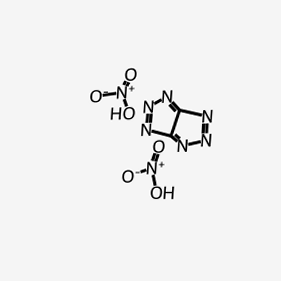 N1=NC2=NN=NC2=N1.O=[N+]([O-])O.O=[N+]([O-])O